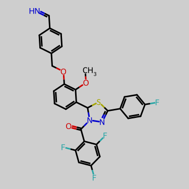 COc1c(OCc2ccc(C=N)cc2)cccc1C1SC(c2ccc(F)cc2)=NN1C(=O)c1c(F)cc(F)cc1F